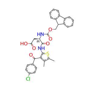 Cc1sc(NC(=O)[C@@H](CC(=O)O)NC(=O)OCC2c3ccccc3-c3ccccc32)c(C(=O)c2ccc(Cl)cc2)c1C